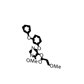 COC=CC(=O)Oc1c(OC)ncnc1Oc1cccc(Oc2ccccc2)c1